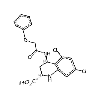 O=C(COc1ccccc1)N[C@@H]1C[C@@H](C(=O)O)Nc2cc(Cl)cc(Cl)c21